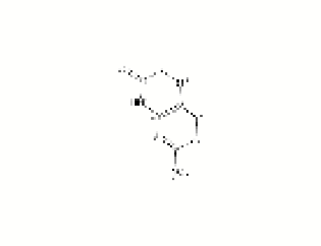 C=C1COc2ccc([N+](=O)[O-])cc2N1